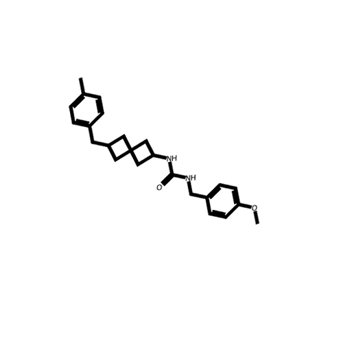 COc1ccc(CNC(=O)NC2CC3(CC(Cc4ccc(C)cc4)C3)C2)cc1